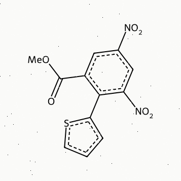 COC(=O)c1cc([N+](=O)[O-])cc([N+](=O)[O-])c1-c1cccs1